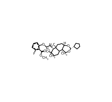 COC(=O)c1c(F)cccc1OCC[C@@H]1C(C)(C)CCC2[C@]3(C)CO[C@@H](C4CCCC4)O[C@@H]3CC[C@]21C